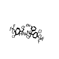 O=CC(NC1=NC(c2cccc(Br)c2)(c2ccc(OC(F)F)c(Cl)c2)CO1)c1ccc(OC(F)F)c(Cl)c1